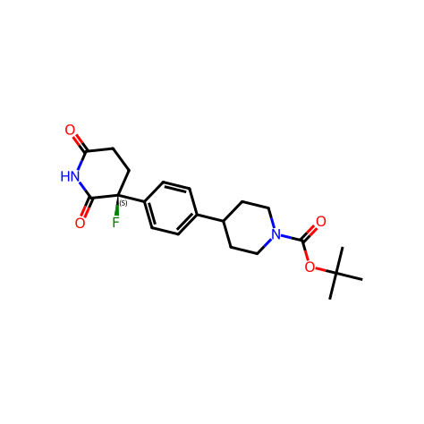 CC(C)(C)OC(=O)N1CCC(c2ccc([C@@]3(F)CCC(=O)NC3=O)cc2)CC1